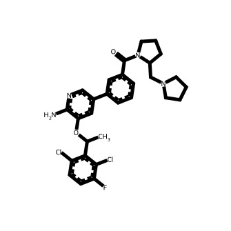 CC(Oc1cc(-c2cccc(C(=O)N3CCCC3CN3CCCC3)c2)cnc1N)c1c(Cl)ccc(F)c1Cl